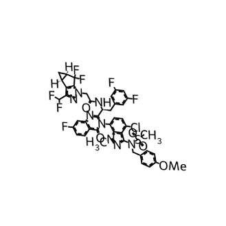 COc1ccc(CN(c2nn(C)c3c(-n4c([C@H](Cc5cc(F)cc(F)c5)NC(=O)Cn5nc(C(F)F)c6c5C(F)(F)[C@@H]5C[C@H]65)nc5cc(F)ccc5c4=O)ccc(Cl)c23)S(C)(=O)=O)cc1